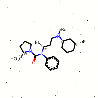 CCCCN(CC[C@@H](CC)N(C(=O)N1CCC[C@@H]1C(=O)O)c1ccccc1)[C@@H]1CCC[C@@H](CCC)C1